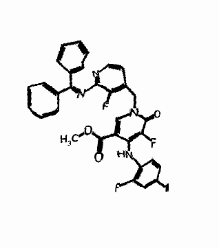 COC(=O)c1cn(Cc2ccnc(N=C(c3ccccc3)c3ccccc3)c2F)c(=O)c(F)c1Nc1ccc(I)cc1F